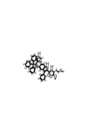 COC(=O)[C@H](CCSC)NC(=O)c1[nH]c2ccc(NC(c3c[nH]cn3)C(c3ccccc3)(c3ccccc3)c3ccccc3)cc2c1-c1ccccc1